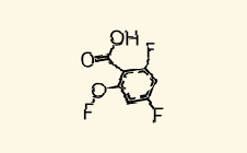 O=C(O)c1c(F)cc(F)cc1OF